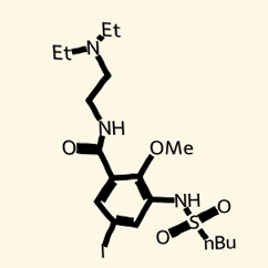 CCCCS(=O)(=O)Nc1cc(I)cc(C(=O)NCCN(CC)CC)c1OC